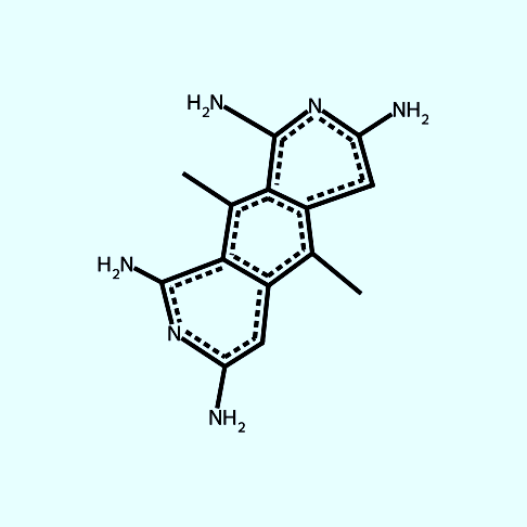 Cc1c2cc(N)nc(N)c2c(C)c2c(N)nc(N)cc12